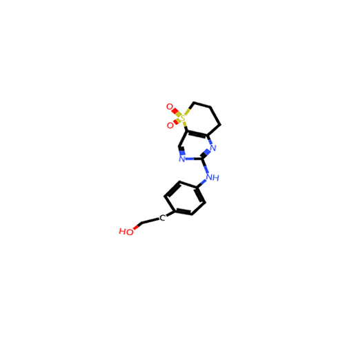 O=S1(=O)CCCc2nc(Nc3ccc(CCO)cc3)ncc21